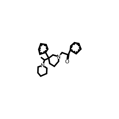 CC(N1CCCCC1)C1(c2ccccc2)CCCN(CC(=O)c2ccccc2)C1